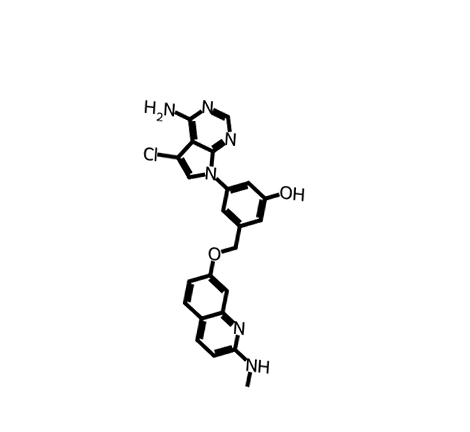 CNc1ccc2ccc(OCc3cc(O)cc(-n4cc(Cl)c5c(N)ncnc54)c3)cc2n1